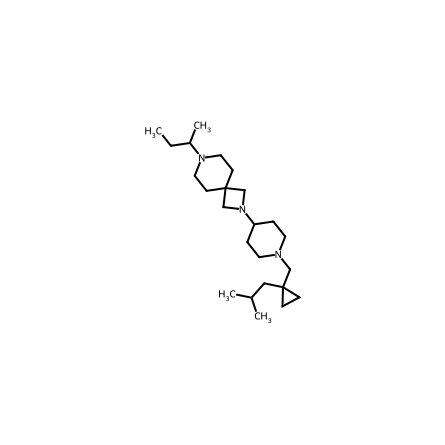 CCC(C)N1CCC2(CC1)CN(C1CCN(CC3(CC(C)C)CC3)CC1)C2